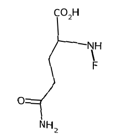 NC(=O)CCC(NF)C(=O)O